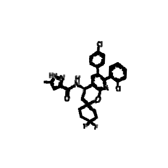 Cc1cc(C(=O)N[C@@H]2CC3(CCC(F)(F)CC3)Oc3nc(-c4ccccc4Cl)c(-c4ccc(Cl)cc4)cc32)n[nH]1